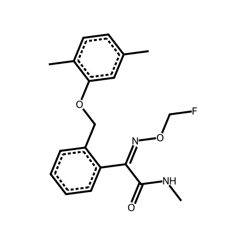 CNC(=O)C(=NOCF)c1ccccc1COc1cc(C)ccc1C